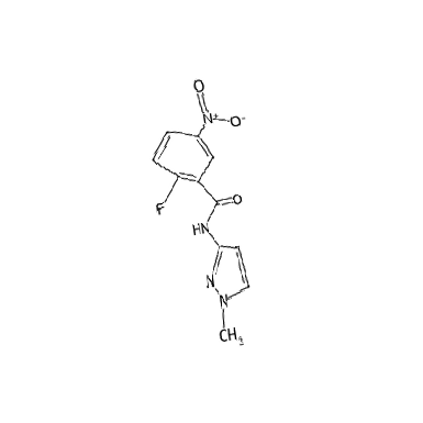 Cn1ccc(NC(=O)c2cc([N+](=O)[O-])ccc2F)n1